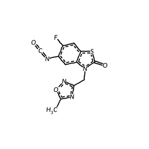 Cc1nc(Cn2c(=O)sc3cc(F)c(N=C=O)cc32)no1